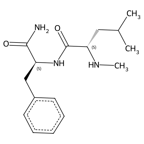 CN[C@@H](CC(C)C)C(=O)N[C@@H](Cc1ccccc1)C(N)=O